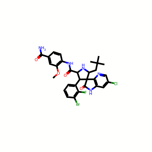 COc1cc(C(N)=O)ccc1NC(=O)C1NC(CC(C)(C)C)C2(C(=O)Nc3cc(Cl)cnc32)C1c1cccc(Br)c1F